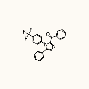 O=C(c1ccccc1)c1ncc(-c2ccccc2)n1-c1ccc(C(F)(F)F)cc1